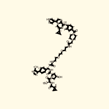 Cc1ncsc1-c1ccc([C@H](CC(=O)NCCOCCOCCNC(=O)CN2CCN(C(=O)c3ccc(Nc4nc(C5CC5)cn5c(-c6cn[nH]c6)cnc45)c(F)c3)CC2)NC(=O)[C@@H]2C[C@@H](O)CN2C(=O)[C@@H](NC(=O)C2(F)CC2)C(C)(C)C)cc1